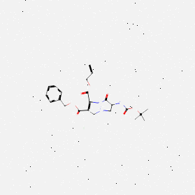 C=CCOC(=O)C1=C(C(=O)OCc2ccccc2)CN2CC(NC(=O)OC(C)(C)C)C(=O)N12.Cl